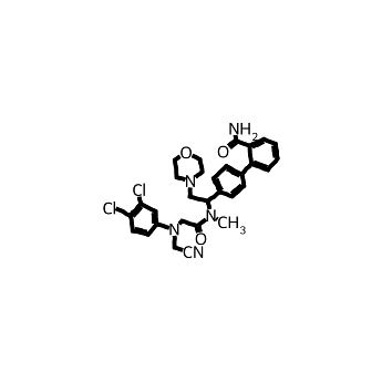 CN(C(=O)CN(CC#N)c1ccc(Cl)c(Cl)c1)C(CN1CCOCC1)c1ccc(-c2ccccc2C(N)=O)cc1